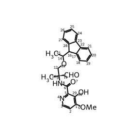 COc1ccnc(C(=O)N[C@@](C)(C=O)COC(C)C2c3ccccc3-c3ccccc32)c1O